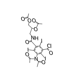 CC(=O)OCC(CNC(=O)c1c(I)c(C(=O)Cl)c(I)c(N(C(C)=O)C(C)=O)c1I)OC(C)=O